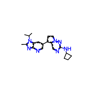 Cc1nc2ncc(-c3ccn4nc(NC5CCC5)ncc34)cc2n1C(C)C